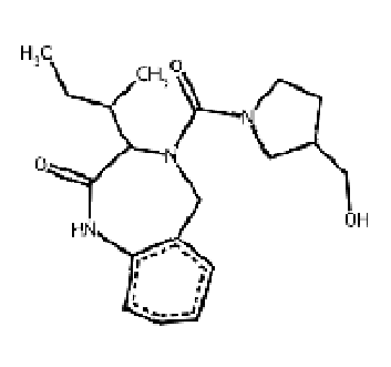 CCC(C)C1C(=O)Nc2ccccc2CN1C(=O)N1CCC(CO)C1